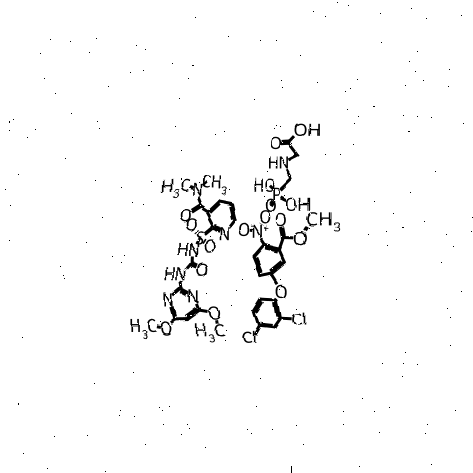 COC(=O)c1cc(Oc2ccc(Cl)cc2Cl)ccc1[N+](=O)[O-].COc1cc(OC)nc(NC(=O)NS(=O)(=O)c2ncccc2C(=O)N(C)C)n1.O=C(O)CNCP(=O)(O)O